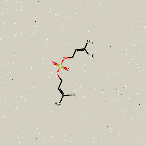 CC(C)=CCOS(=O)(=O)OCC=C(C)C